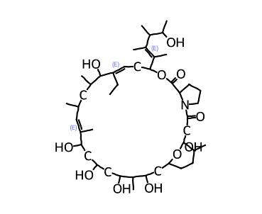 CC/C1=C\CC(/C(C)=C(\C)C(C)C(C)O)OC(=O)C2CCCN2C(=O)CC2(O)OC(CCC2C)CC(O)C(C)C(O)CC(O)CC(O)/C(C)=C/C(C)CC(C)C1O